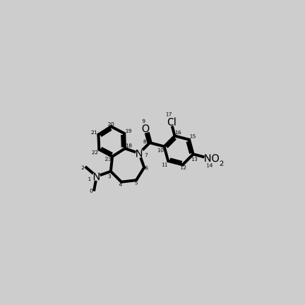 CN(C)C1CCCN(C(=O)c2ccc([N+](=O)[O-])cc2Cl)c2ccccc21